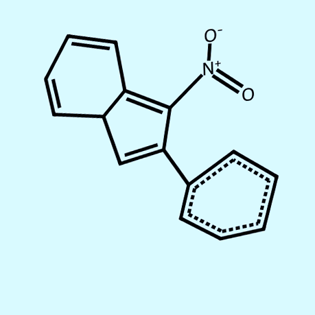 O=[N+]([O-])C1=C2C=CC=CC2C=C1c1ccccc1